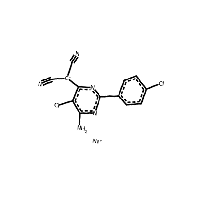 N#C[C-](C#N)c1nc(-c2ccc(Cl)cc2)nc(N)c1Cl.[Na+]